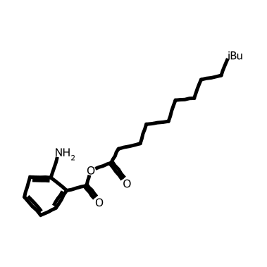 CCC(C)CCCCCCCCC(=O)OC(=O)c1ccccc1N